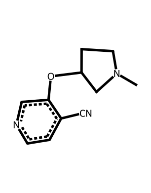 CN1CCC(Oc2cnccc2C#N)C1